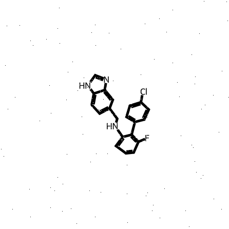 Fc1cccc(NCc2ccc3[nH]cnc3c2)c1-c1ccc(Cl)cc1